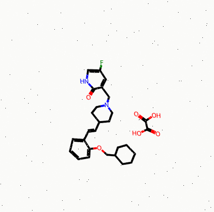 O=C(O)C(=O)O.O=c1[nH]cc(F)cc1CN1CCC(C=Cc2ccccc2OCC2CCCCC2)CC1